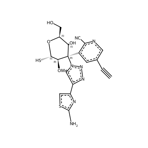 C#Cc1cnc(C#N)c([C@@]2(n3cc(-c4csc(N)n4)nn3)[C@H](O)[C@H](CO)O[C@@H](S)[C@@H]2OC)c1